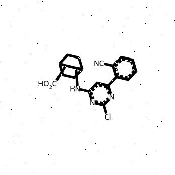 N#Cc1ccccc1-c1cc(NC2C3CCC(CC3)C2C(=O)O)nc(Cl)n1